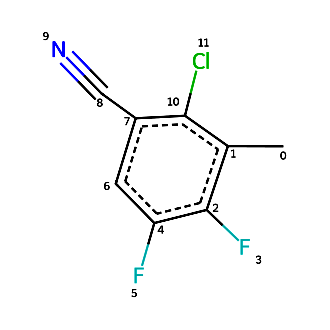 Cc1c(F)c(F)cc(C#N)c1Cl